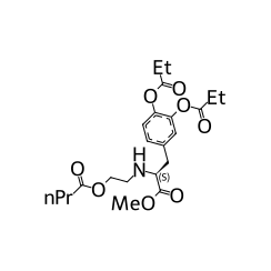 CCCC(=O)OCCN[C@@H](Cc1ccc(OC(=O)CC)c(OC(=O)CC)c1)C(=O)OC